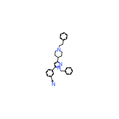 N#Cc1cccc(-c2cc(C3CCN(CCc4ccccc4)CC3)nn2Cc2ccccc2)c1